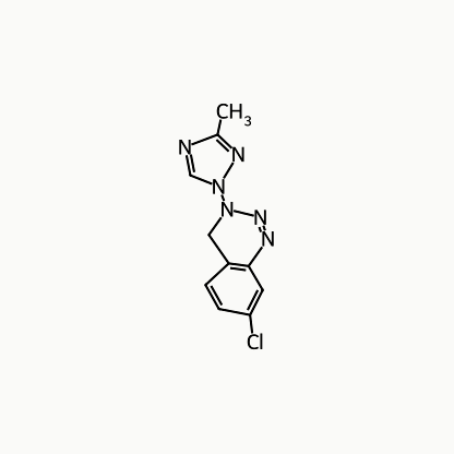 Cc1ncn(N2Cc3ccc(Cl)cc3N=N2)n1